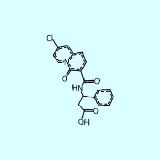 O=C(O)CC(NC(=O)c1ccc2cc(Cl)ccn2c1=O)c1ccccc1